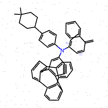 C=C(/C=C\C(=C/C)N(c1c#cc2c(c1)-c1c3cccc1-c1cccc-2c1-c1ccccc1-3)c1ccc(C2CCC(C)(C)CC2)cc1)c1ccccc1